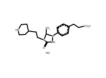 CC1N(CCC2CCNCC2)C(=O)NN1c1ccc(CCC(=O)O)cc1.Cl